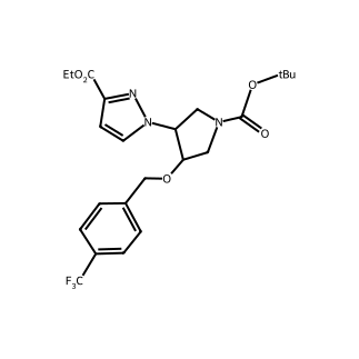 CCOC(=O)c1ccn(C2CN(C(=O)OC(C)(C)C)CC2OCc2ccc(C(F)(F)F)cc2)n1